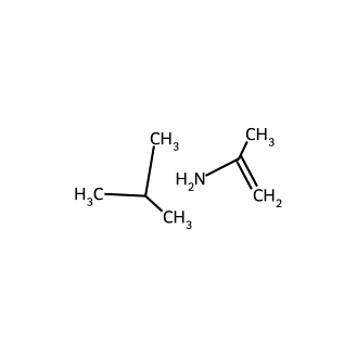 C=C(C)N.CC(C)C